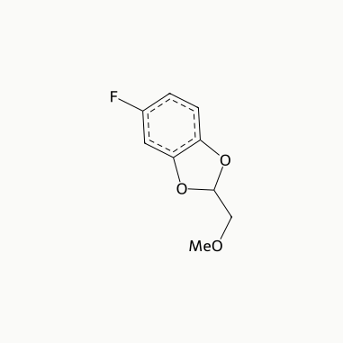 COCC1Oc2ccc(F)cc2O1